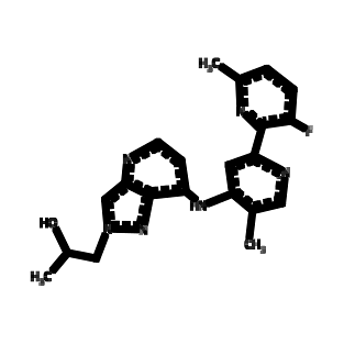 Cc1ccc(F)c(-c2cc(Nc3ccnc4cn(CC(C)O)nc34)c(C)cn2)n1